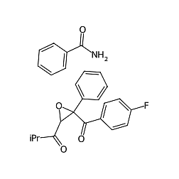 CC(C)C(=O)C1OC1(C(=O)c1ccc(F)cc1)c1ccccc1.NC(=O)c1ccccc1